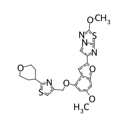 COc1cc(OCc2csc(C3CCOCC3)n2)c2cc(-c3cn4nc(OC)sc4n3)oc2c1